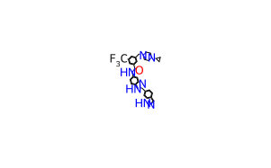 O=C(Nc1ccc2[nH]c(-c3ccc4cn[nH]c4c3)nc2c1)c1cc(CN2CCN(C3CC3)CC2)cc(C(F)(F)F)c1